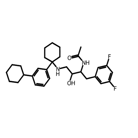 CC(=O)NC(Cc1cc(F)cc(F)c1)C(O)CNC1(c2cccc(C3CCCCC3)c2)CCCCC1